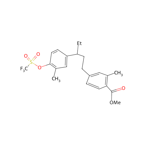 CCC(CCc1ccc(C(=O)OC)c(C)c1)c1ccc(OS(=O)(=O)C(F)(F)F)c(C)c1